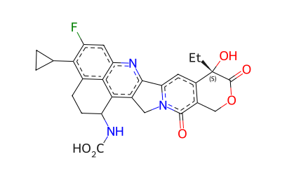 CC[C@@]1(O)C(=O)OCc2c1cc1n(c2=O)Cc2c-1nc1cc(F)c(C3CC3)c3c1c2C(NC(=O)O)CC3